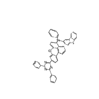 c1ccc(-c2nc(-c3ccccc3)nc(-c3ccc4c(c3)Oc3ccc(N(c5ccccc5)c5ccc6sc7ccccc7c6c5)c5cccc-4c35)n2)cc1